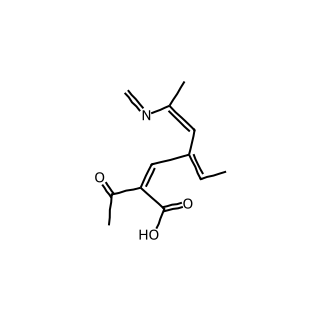 C=N\C(C)=C/C(=C\C)/C=C(/C(C)=O)C(=O)O